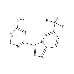 CSc1cc(-c2cnc3ccc(C(C)(F)F)nn23)ncn1